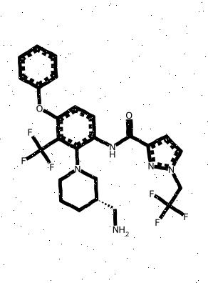 NC[C@@H]1CCCN(c2c(NC(=O)c3ccn(CC(F)(F)F)n3)ccc(Oc3ccccc3)c2C(F)(F)F)C1